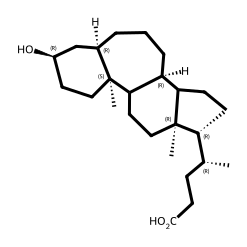 C[C@H](CCC(=O)O)[C@H]1CCC2[C@@H]3CCC[C@@H]4C[C@H](O)CC[C@]4(C)C3CC[C@@]21C